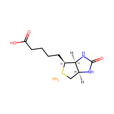 O=C(O)CCCC[C@@H]1SC[C@@H]2NC(=O)N[C@@H]21.P